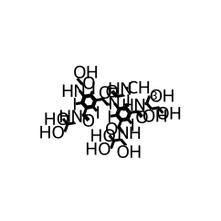 CNCC(=O)N(CC(=O)c1c(I)c(NC(=O)CO)c(I)c(C(=O)NCC(O)CO)c1I)c1c(I)c(C(=O)NC(CO)C(O)CO)c(I)c(C(=O)NC(CO)C(O)CO)c1I